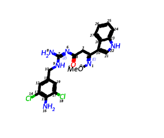 CO/N=C(\CC(=O)/N=C(/N)NCc1cc(Cl)c(N)c(Cl)c1)c1c[nH]c2ccccc12